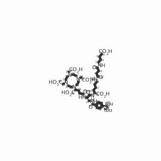 CC(C)(C)S(F)(c1ccc(C(=O)NC[C@@H](NC(=O)CC[C@@H](C(=O)O)N2CCN(CC(=O)O)CCN(CC(=O)O)CCN(CC(=O)O)CC2)C(=O)N[C@H](CCCCNC(=O)CCC(=O)NCCCCC(=O)O)C(=O)O)cc1)C(C)(C)C